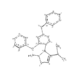 CC(C)C1=CSC(N)N1c1ncc(Sc2ccncc2)cc1Oc1ccccc1